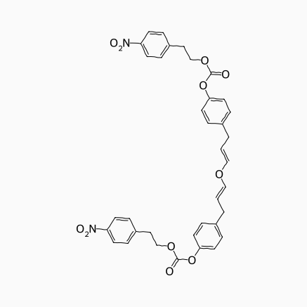 O=C(OCCc1ccc([N+](=O)[O-])cc1)Oc1ccc(CC=COC=CCc2ccc(OC(=O)OCCc3ccc([N+](=O)[O-])cc3)cc2)cc1